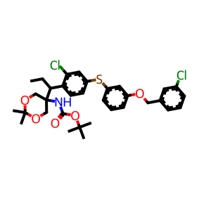 CCC(c1ccc(Sc2cccc(OCc3cccc(Cl)c3)c2)cc1Cl)C1(NC(=O)OC(C)(C)C)COC(C)(C)OC1